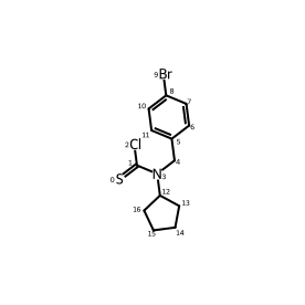 S=C(Cl)N(Cc1ccc(Br)cc1)C1CCCC1